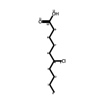 CCCCC(Cl)CCCCC(=O)O